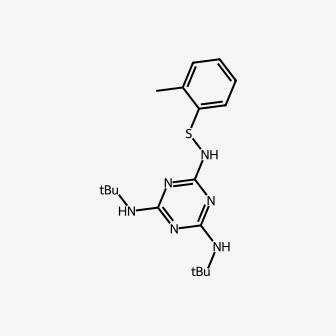 Cc1ccccc1SNc1nc(NC(C)(C)C)nc(NC(C)(C)C)n1